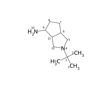 CC(C)(C)N1CC2CCC(N)C2C1